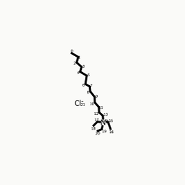 CCCCCCCCCCCCCC[N+](CC)(CC)CC.[Cl-]